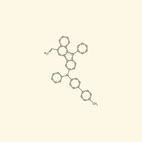 C=Cc1cc2c3cc(N(c4ccccc4)c4ccc(-c5ccc(C)cc5)cc4)ccc3n(-c3ccccc3)c2c2ccccc12